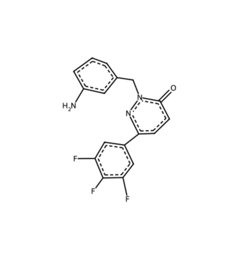 Nc1cccc(Cn2nc(-c3cc(F)c(F)c(F)c3)ccc2=O)c1